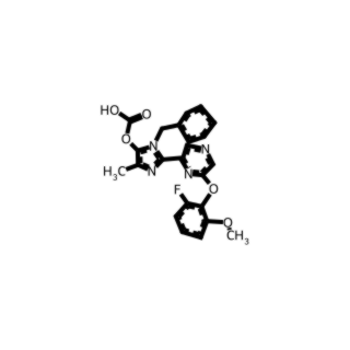 COc1cccc(F)c1Oc1cncc(-c2nc(C)c(OC(=O)O)n2Cc2ccccc2)n1